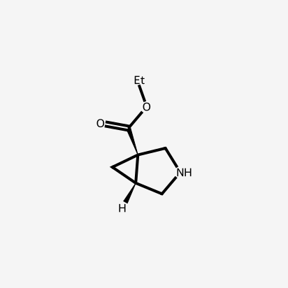 CCOC(=O)[C@@]12CNC[C@@H]1C2